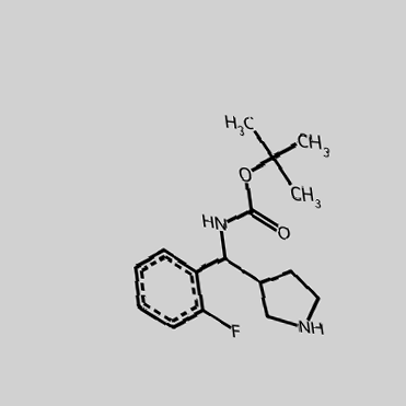 CC(C)(C)OC(=O)NC(c1ccccc1F)C1CCNC1